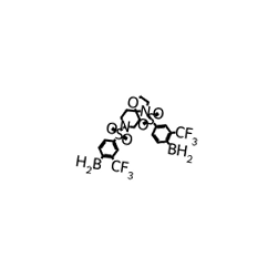 Bc1ccc(S(=O)(=O)N2CCC3(CC2)OCCN3S(=O)(=O)c2ccc(B)c(C(F)(F)F)c2)cc1C(F)(F)F